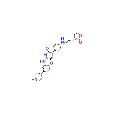 O=C1OCCN1CCCN[C@H]1CC[C@H](n2cc3c(nc2=O)Nc2cc(C4CCNCC4)ccc2O3)CC1